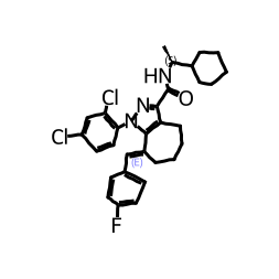 C[C@H](NC(=O)c1nn(-c2ccc(Cl)cc2Cl)c2c1CCCC/C2=C\c1ccc(F)cc1)C1CCCCC1